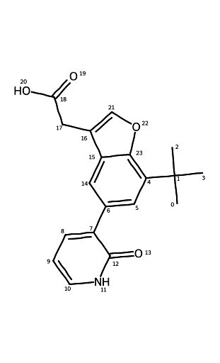 CC(C)(C)c1cc(-c2ccc[nH]c2=O)cc2c(CC(=O)O)coc12